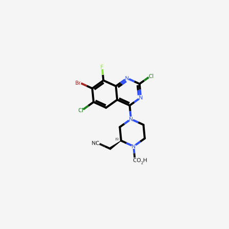 N#CC[C@H]1CN(c2nc(Cl)nc3c(F)c(Br)c(Cl)cc23)CCN1C(=O)O